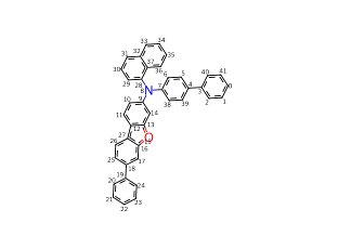 c1ccc(-c2ccc(N(c3ccc4c(c3)oc3cc(-c5ccccc5)ccc34)c3cccc4ccccc34)cc2)cc1